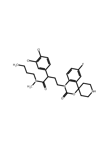 CCCCN(C)C(=O)C(CCN1C(=O)OC2(CCNCC2)c2cc(F)ccc21)c1ccc(Cl)c(Cl)c1